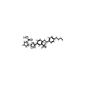 CCCCc1ccc(CCc2ccc(-c3noc([C@@H]4CCCN4C(=O)O)n3)cc2C(F)(F)F)cc1